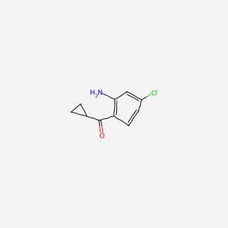 Nc1cc(Cl)ccc1C(=O)C1CC1